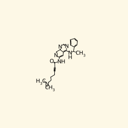 CC(Nc1ncnc2cnc(NC(=O)C#CCCCN(C)C)cc12)c1ccccc1